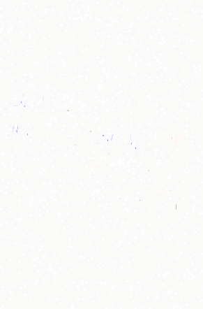 COCCNC(C(=O)Nc1ccc(/C(C=N)=C/N)c(F)c1)c1cccc(OC)c1